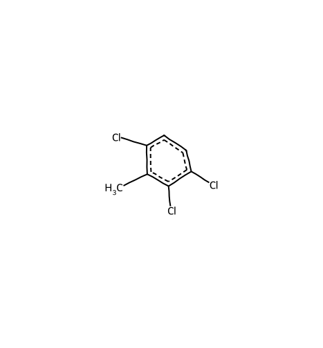 Cc1c(Cl)ccc(Cl)c1Cl